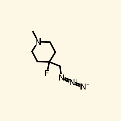 CN1CCC(F)(CN=[N+]=[N-])CC1